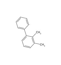 Cc1cccc(-c2[c]cccc2)c1C